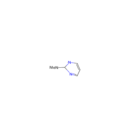 CNC1[N]C=CC=N1